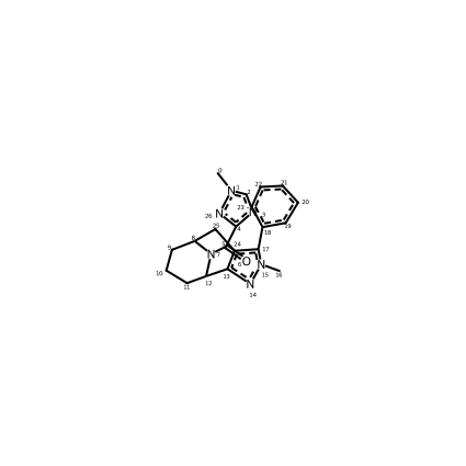 Cn1cnc(C(=O)N2C3CCCC2c2nn(C)c(-c4ccccc4)c2C3)n1